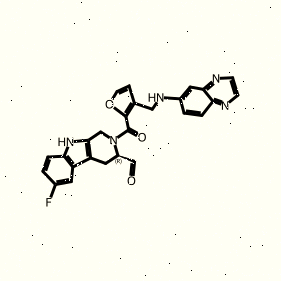 O=C[C@H]1Cc2c([nH]c3ccc(F)cc23)CN1C(=O)c1occc1CNc1ccc2nccnc2c1